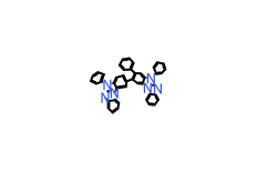 c1ccc(-c2cc3c(cc2-c2ccc4c(c2)n2c5ccccc5nc2n4-c2ccccc2)n2c4ccccc4nc2n3-c2ccccc2)cc1